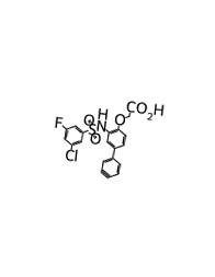 O=C(O)COc1ccc(-c2cc#ccc2)cc1NS(=O)(=O)c1cc(F)cc(Cl)c1